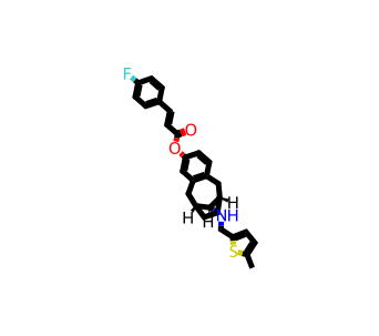 Cc1ccc(CN[C@H]2[C@@H]3CC[C@H]2Cc2ccc(OC(=O)/C=C/c4ccc(F)cc4)cc2C3)s1